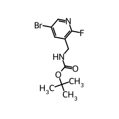 CC(C)(C)OC(=O)NCc1cc(Br)cnc1F